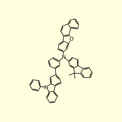 CC1(C)c2ccccc2-c2ccc(N(c3cccc(-c4ccc5c6ccccc6n(-c6ccccc6)c5c4)c3)c3ccc4c(c3)oc3c5ccccc5ccc43)cc21